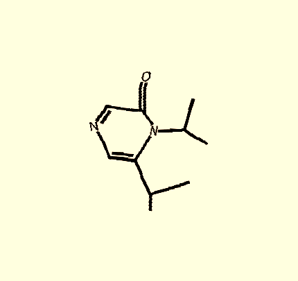 CC(C)c1cncc(=O)n1C(C)C